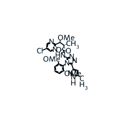 COc1cccc(OC)c1-n1c(NS(=O)(=O)[C@@H](C)[C@H](OC)c2ncc(Cl)cn2)nnc1-c1cc(C)[nH]n1